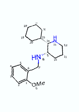 COc1ccccc1CN[C@H]1CCCN[C@H]1C1CCCCC1